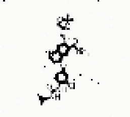 CC1(C)OC[C@@H](COc2cc3nccc(Oc4ccc(NC(=O)NC5CC5)c(Cl)c4)c3cc2C(N)=O)O1